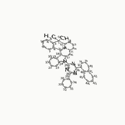 CC1(C)c2ccccc2-c2c3c1cccc3cc1c2c2ccccc2n1-c1nc(-c2ccccc2)nc(-c2cccc3ccccc23)n1